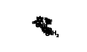 C#Cc1ccccc1C(=O)NCc1ccc(S(N)(=O)=O)cc1.c1cc2cc-2c1